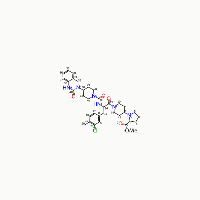 COC(=O)[C@@H]1CCCN1C1CCN(C(=O)C(Cc2ccc(C)c(Cl)c2)NC(=O)N2CCC(N3Cc4ccccc4NC3=O)CC2)CC1